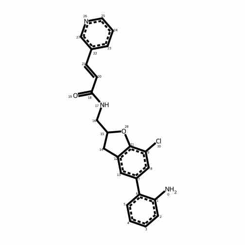 Nc1ccccc1-c1cc(Cl)c2c(c1)CC(CNC(=O)C=Cc1cccnc1)O2